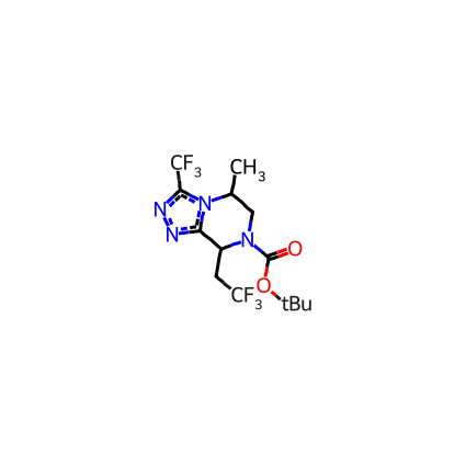 CC1CN(C(=O)OC(C)(C)C)C(CC(F)(F)F)c2nnc(C(F)(F)F)n21